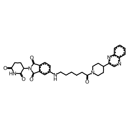 O=C1CCC(N2C(=O)c3ccc(NCCCCCC(=O)N4CCC(c5cnc6ccccc6n5)CC4)cc3C2=O)C(=O)N1